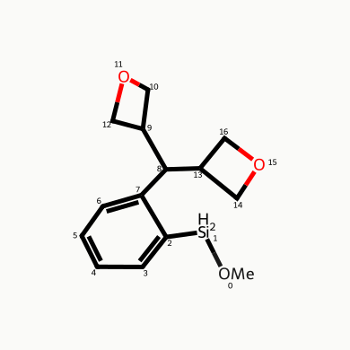 CO[SiH2]c1ccccc1C(C1COC1)C1COC1